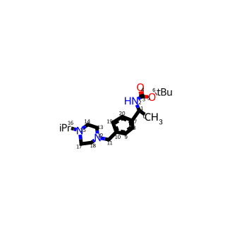 CC(NC(=O)OC(C)(C)C)c1ccc(CN2CCN(C(C)C)CC2)cc1